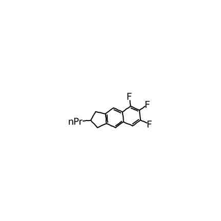 CCCC1Cc2cc3cc(F)c(F)c(F)c3cc2C1